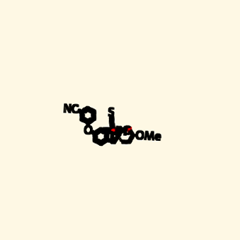 CO[C@H]1CC[C@]2(CC1)Cc1ccc(Oc3cccc(C#N)c3)cc1C21NC(=S)NC1=O